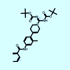 C=C(/C=C\C)C(=O)Nc1ccc(C2=CCN(/C(=N\C(=O)OC(C)(C)C)NC(=O)OC(C)(C)C)CC2)c(C)c1